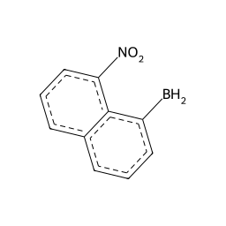 Bc1cccc2cccc([N+](=O)[O-])c12